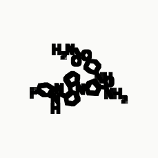 NCC(=O)O[C@H]1CC[C@H](Nc2cc(-n3c4ccccc4c4c(-c5nc6ccc(F)cc6[nH]5)cccc43)ccc2C(N)=O)CC1